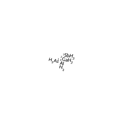 [AlH3].[AsH3].[GaH3].[SbH3]